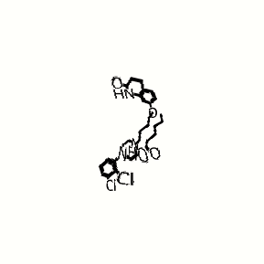 CCCCCC(=O)O.O=C1CCc2ccc(OCCCCN3CCN(c4cccc(Cl)c4Cl)CC3)cc2N1